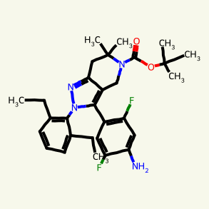 CCc1cccc(CC)c1-n1nc2c(c1-c1cc(F)c(N)cc1F)CN(C(=O)OC(C)(C)C)C(C)(C)C2